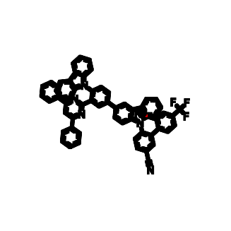 N#Cc1ccc(-n2c3ccccc3c3cc(-c4ccc(-n5c6ccccc6c6ccccc65)c(-c5nc(-c6ccccc6)cc(-c6ccccc6)n5)c4)ccc32)c(-c2ccc(C(F)(F)F)cc2C#N)c1